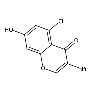 CC(C)c1coc2cc(O)cc(Cl)c2c1=O